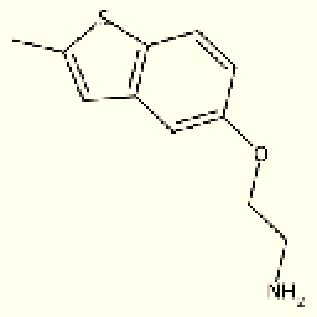 Cc1cc2cc(OCCN)ccc2s1